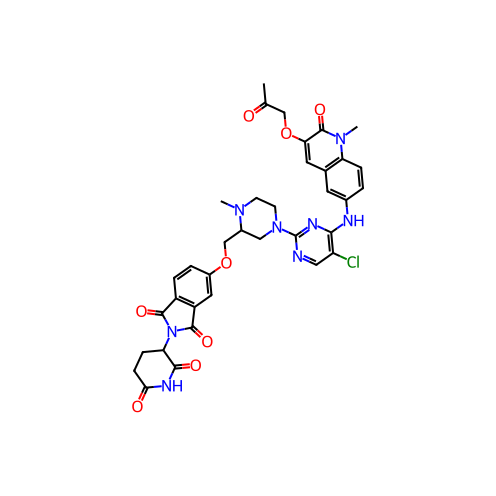 CC(=O)COc1cc2cc(Nc3nc(N4CCN(C)C(COc5ccc6c(c5)C(=O)N(C5CCC(=O)NC5=O)C6=O)C4)ncc3Cl)ccc2n(C)c1=O